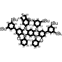 CC(C)(C)c1cc(-c2cc3c4c(c2)N(c2cc(C(C)(C)C)cc(C(C)(C)C)c2)c2cc5c(cc2B4c2ccccc2O3)B2c3ccccc3Oc3cc(-c4cc(C(C)(C)C)cc(C(C)(C)C)c4)cc(c32)N5c2ccc3cscc3c2)cc(C(C)(C)C)c1